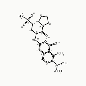 Cc1c(N(C(=O)O)C(C)(C)C)ccc2nc(N[C@@H](CCS(C)(=O)=O)C(=O)N3CCCC3)oc(=O)c12